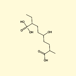 CCC(CCC(O)CCC(C)C(=O)O)P(=O)(O)O